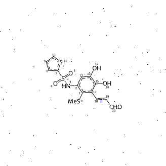 CSc1c(NS(=O)(=O)c2cccs2)cc(O)c(O)c1/C=C/C=O